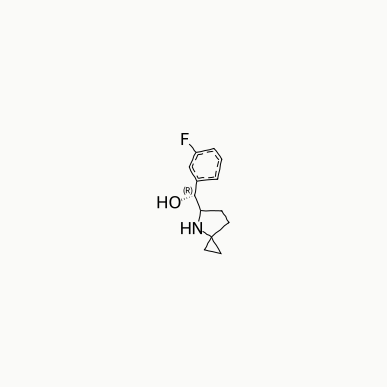 O[C@H](c1cccc(F)c1)C1CCC2(CC2)N1